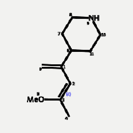 C=C(/C=C(/C)OC)C1CCNCC1